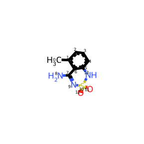 Cc1cccc2c1C(N)=NS(=O)(=O)N2